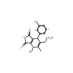 CCN1C(C)=C(OC(=O)O)C(c2cccc(Cl)c2)C2=C1C(=O)OC2=O